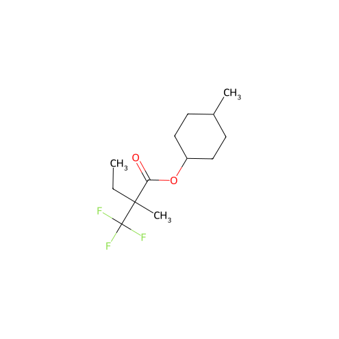 CCC(C)(C(=O)OC1CCC(C)CC1)C(F)(F)F